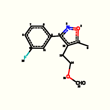 Cc1onc(-c2cccc(F)c2)c1CCOC=O